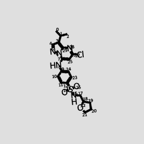 CC(C)c1cnn2c(Nc3ccc(S(=O)(=O)NCC4CCCO4)cc3)cc(Cl)nc12